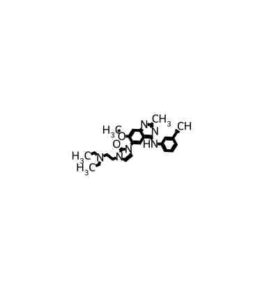 C#Cc1cccc(Nc2nc(C)nc3cc(OC)c(-n4ccn(CCN(CC)CC)c4=O)cc23)c1